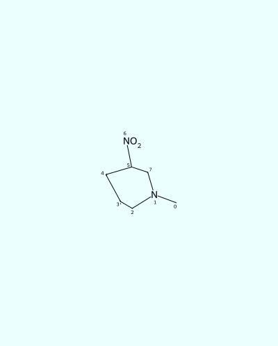 CN1C[CH]CC([N+](=O)[O-])C1